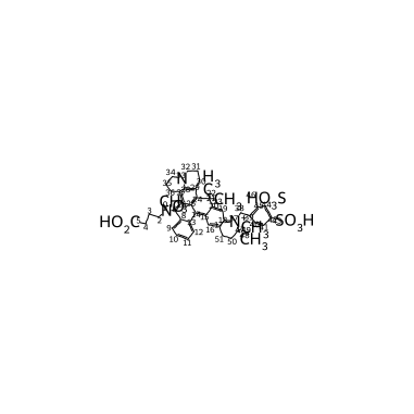 CN(CCCC(=O)O)C(=O)c1ccccc1C1=c2cc3c(cc2C(C)(C)c2c1cc1c4c2CCCN4CCC1)=[N+](Cc1ccc(S(=O)(=O)O)cc1S(=O)(=O)O)C(C)(C)CC3